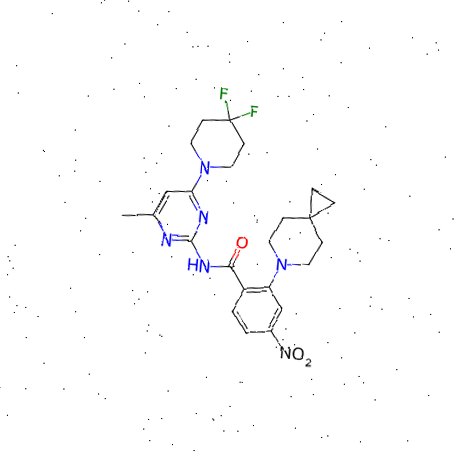 Cc1cc(N2CCC(F)(F)CC2)nc(NC(=O)c2ccc([N+](=O)[O-])cc2N2CCC3(CC2)CC3)n1